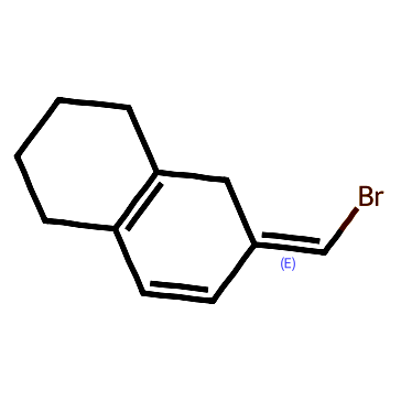 Br/C=C1/C=CC2=C(CCCC2)C1